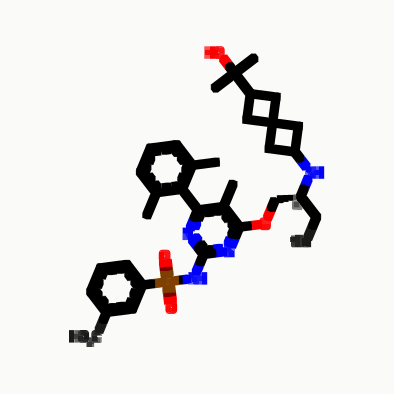 Cc1cccc(C)c1-c1nc(NS(=O)(=O)c2cccc(C(=O)O)c2)nc(OC[C@@H](CC(C)(C)C)NC2CC3(C2)CC(C(C)(C)O)C3)c1C